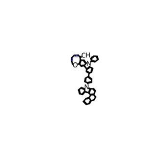 C=C1/C=C\C=C/COc2cc3c4cc(-c5ccc(-n6c7ccccc7c7c8c(ccc76)CCc6ccccc6-8)cc5)ccc4n(-c4ccccc4)c3cc21